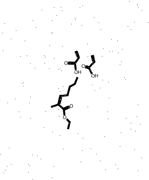 C=CC(=O)O.C=CC(=O)O.CCCCC=C(C)C(=O)OCC